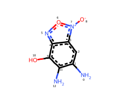 Nc1cc2c(no[n+]2[O-])c(O)c1N